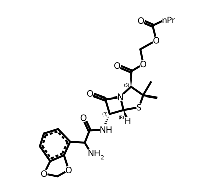 CCCC(=O)OCOC(=O)[C@@H]1N2C(=O)[C@@H](NC(=O)C(N)c3cccc4c3OCO4)[C@H]2SC1(C)C